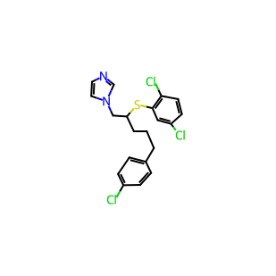 Clc1ccc(CCCC(Cn2ccnc2)Sc2cc(Cl)ccc2Cl)cc1